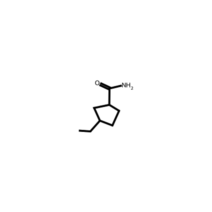 CCC1CCC(C(N)=O)C1